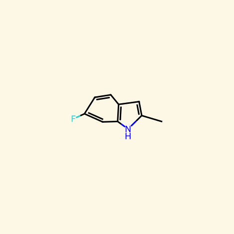 Cc1cc2ccc(F)cc2[nH]1